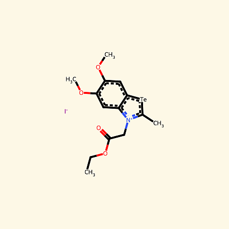 CCOC(=O)C[n+]1c(C)[te]c2cc(OC)c(OC)cc21.[I-]